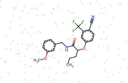 CCCC(Oc1ccc(C#N)c(C(F)(F)F)c1)C(=O)NCc1cccc(OC)c1